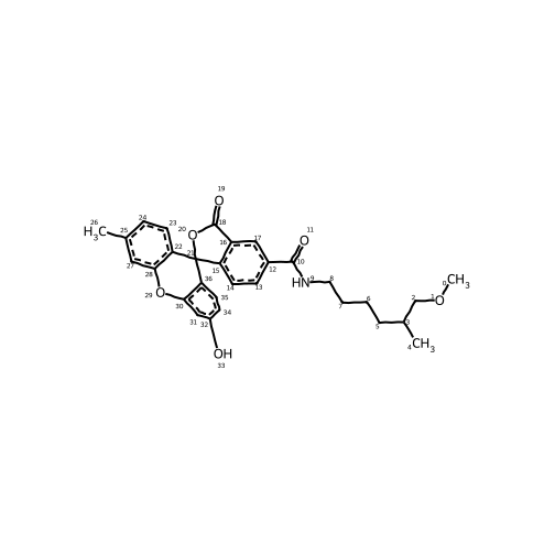 COCC(C)CCCCNC(=O)c1ccc2c(c1)C(=O)OC21c2ccc(C)cc2Oc2cc(O)ccc21